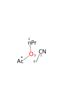 CC#N.CCCOC(C)=O